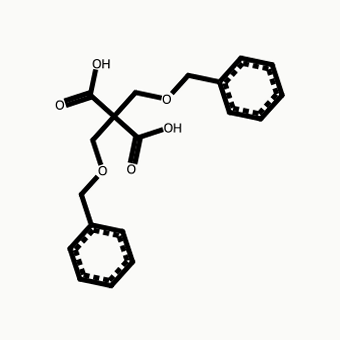 O=C(O)C(COCc1ccccc1)(COCc1ccccc1)C(=O)O